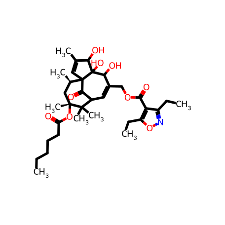 CCCCCC(=O)O[C@]1(C)C[C@@H](C)C23C=C(C)C(O)C2(O)C(O)C(COC(=O)c2c(CC)noc2CC)=CC(C3=O)C1(C)C